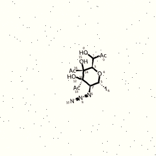 CC(=O)C(O)[C@H]1O[C@H](I)[C@@H](N=[N+]=[N-])[C@](O)(C(C)=O)[C@@]1(O)C(C)=O